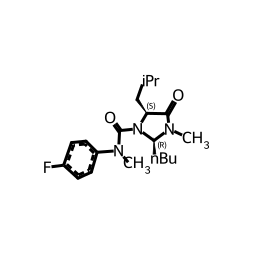 CCCC[C@@H]1N(C)C(=O)[C@H](CC(C)C)N1C(=O)N(C)c1ccc(F)cc1